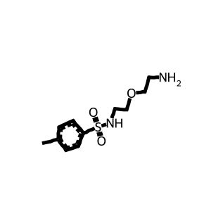 Cc1ccc(S(=O)(=O)NCCOCCN)cc1